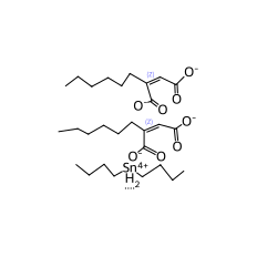 CCCCCC/C(=C/C(=O)[O-])C(=O)[O-].CCCCCC/C(=C/C(=O)[O-])C(=O)[O-].CCC[CH2][SnH2+4][CH2]CCC